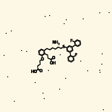 N.O=C(O)CCCOc1cccc(CCCCCCSc2cc(-c3ccccc3F)cc(-c3ccccc3F)c2)c1CCC(=O)O